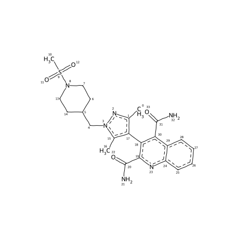 Cc1nn(CC2CCN(S(C)(=O)=O)CC2)c(C)c1-c1c(C(N)=O)nc2ccccc2c1C(N)=O